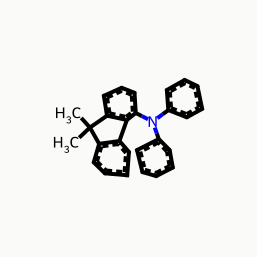 CC1(C)c2ccccc2-c2c(N(c3ccccc3)c3ccccc3)cccc21